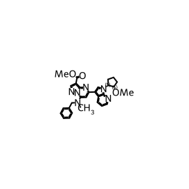 COC(=O)c1cnn2c(N(C)Cc3ccccc3)cc(-c3cn([C@H]4CCC[C@@H]4OC)c4ncccc34)nc12